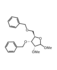 COC1O[C@H](COCc2ccccc2)[C@@H](OCc2ccccc2)[C@H]1OC